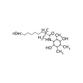 CCCCCCCCCCCCCCCCC(C)(C)C(=O)Nc1c(C)c(O)c(C)c(C)c1O